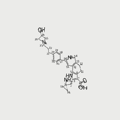 NC1(Cc2[nH]c3c(c2C(=O)O)CCc2cnc(-c4ccc(CCCN5CC(O)C5)cc4)cc2-3)CC1